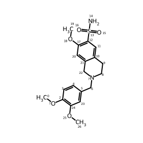 COc1ccc(CN2CCc3cc(S(N)(=O)=O)c(OC)cc3C2)cc1OC